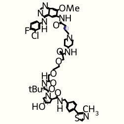 COc1cc2ncnc(Nc3ccc(F)c(Cl)c3)c2cc1NC(=O)/C=C/CN1CCC(NC(=O)COCCOCC(=O)N[C@H](C(=O)N2C[C@H](O)CC2C(=O)NCc2ccc(-c3scnc3C)cc2)C(C)(C)C)CC1